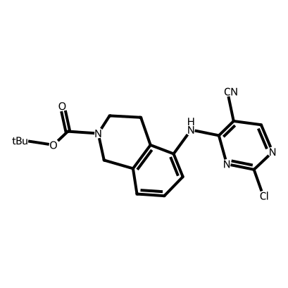 CC(C)(C)OC(=O)N1CCc2c(cccc2Nc2nc(Cl)ncc2C#N)C1